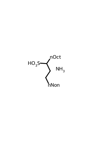 CCCCCCCCCCCC(CCCCCCCC)S(=O)(=O)O.N